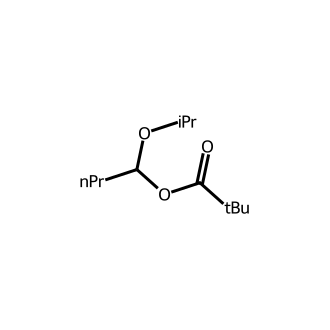 CCCC(OC(=O)C(C)(C)C)OC(C)C